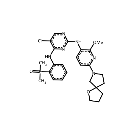 COc1nc(N2CCC3(CCCO3)C2)ccc1Nc1ncc(Cl)c(Nc2ccccc2P(C)(C)=O)n1